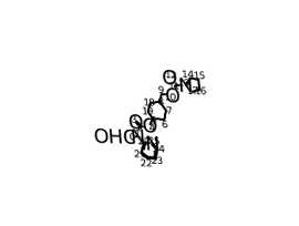 O=CN(C(=O)OC1CCC(COC(=O)N2CCCC2)CC1)c1ccccn1